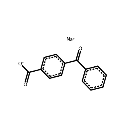 O=C([O-])c1ccc(C(=O)c2ccccc2)cc1.[Na+]